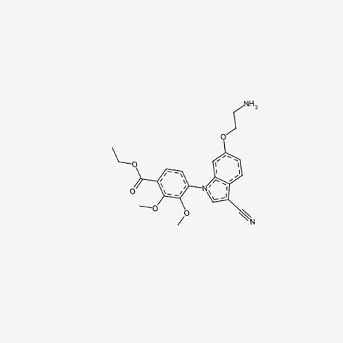 CCOC(=O)c1ccc(-n2cc(C#N)c3ccc(OCCN)cc32)c(OC)c1OC